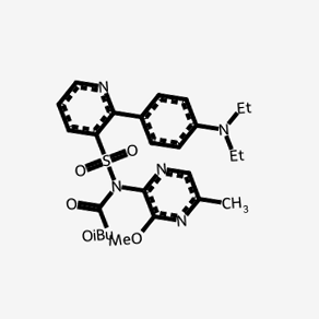 CCN(CC)c1ccc(-c2ncccc2S(=O)(=O)N(C(=O)OCC(C)C)c2ncc(C)nc2OC)cc1